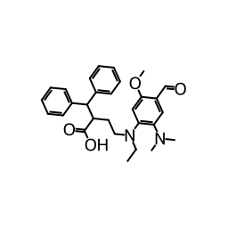 CCN(CCC(C(=O)O)C(c1ccccc1)c1ccccc1)c1cc(OC)c(C=O)cc1N(C)C